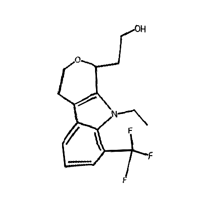 CCn1c2c(c3cccc(C(F)(F)F)c31)CCOC2CCO